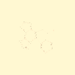 OCCc1c(-c2ccccc2)n2nnnc2n2ncnc12